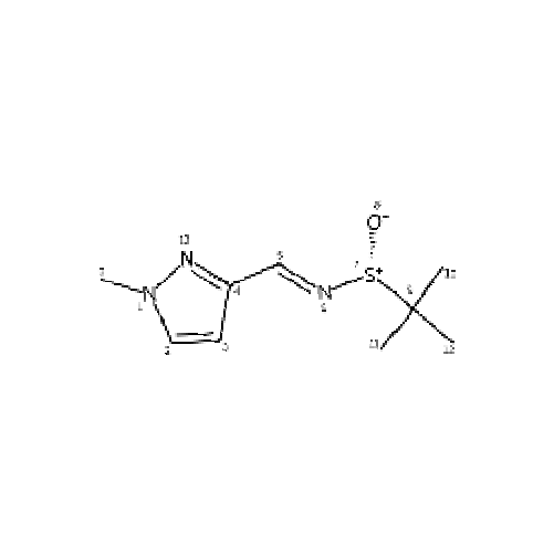 Cn1ccc(C=N[S@+]([O-])C(C)(C)C)n1